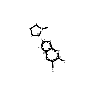 CN1CCC[C@H]1c1cc2nc(Cl)c(Cl)cc2o1